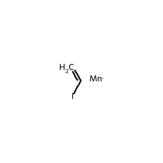 C=CI.[Mn]